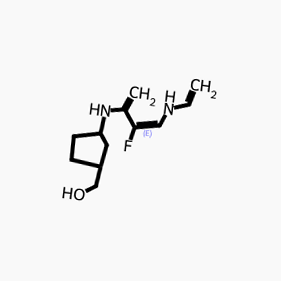 C=CN/C=C(/F)C(=C)NC1CCC(CO)C1